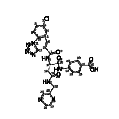 O=C(C=Cc1cc(Cl)ccc1-n1cnnn1)N[C@@H](CC(=O)NCc1cnccn1)C(=O)Nc1ccc(C(=O)O)cc1